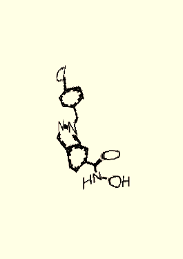 O=C(NO)c1ccc2cnn(Cc3ccc(Cl)cc3)c2c1